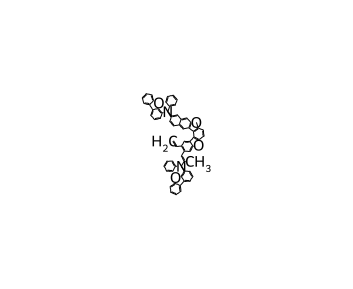 C=Cc1cc2c(cc1/C=C(\C)N(c1ccccc1)c1cccc3c1oc1ccccc13)oc1ccc3oc4cc5cc(N(c6ccccc6)c6cccc7c6oc6ccccc67)ccc5cc4c3c12